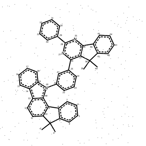 CC1(C)c2ccccc2-c2c1ccc1c3ccccc3n(-c3cccc(-c4nc(-c5ccccc5)nc5c4C(C)(C)c4ccccc4-5)c3)c21